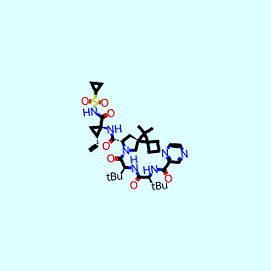 C=C[C@@H]1C[C@]1(NC(=O)[C@@H]1C[C@@]2(CN1C(=O)[C@@H](NC(=O)[C@@H](NC(=O)c1cnccn1)C(C)(C)C)C(C)(C)C)C(C)(C)C21CCC1)C(=O)NS(=O)(=O)C1CC1